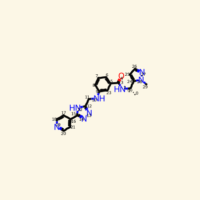 C[C@H](NC(=O)c1cccc(NCc2nnc(-c3ccncc3)[nH]2)c1)c1ccnn1C